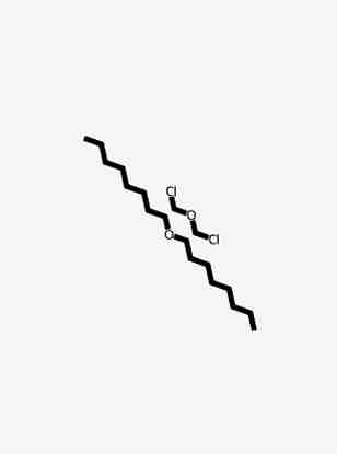 CCCCCCCCOCCCCCCCC.ClCOCCl